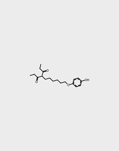 CCC(=O)C(CCCCCCOc1ccc(O)cc1)C(=O)CC